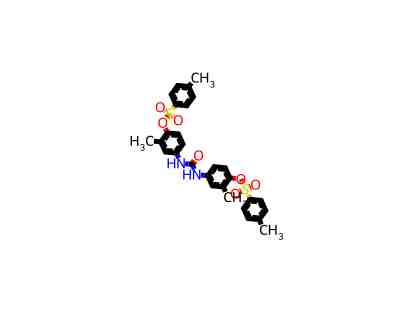 Cc1ccc(S(=O)(=O)Oc2ccc(NC(=O)Nc3ccc(OS(=O)(=O)c4ccc(C)cc4)c(C)c3)cc2C)cc1